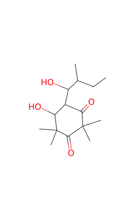 CCC(C)C(O)C1C(=O)C(C)(C)C(=O)C(C)(C)C1O